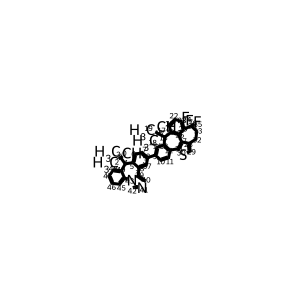 CC(C)(C)C1c2ccc(-c3ccc4c(c3)C(C(C)(C)C)c3ccc(F)c5c3-c3c(csc3-4)CCC5(F)F)cc2-c2cncn2-c2ccccc21